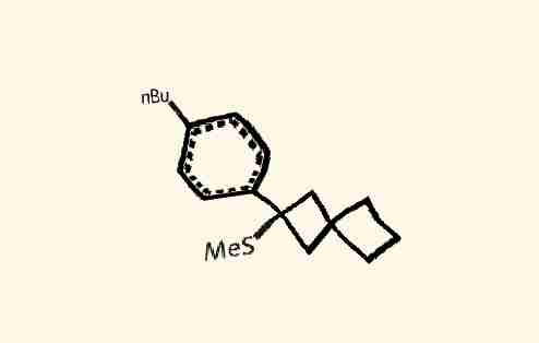 CCCCc1ccc(C2(SC)CC3(CCC3)C2)cc1